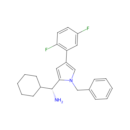 N[C@@H](c1cc(-c2cc(F)ccc2F)cn1Cc1ccccc1)C1CCCCC1